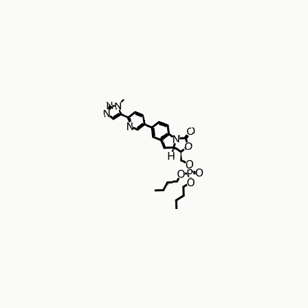 CCCCOP(=O)(OCCCC)OC[C@@H]1OC(=O)N2c3ccc(-c4ccc(-c5cnnn5C)nc4)cc3C[C@@H]12